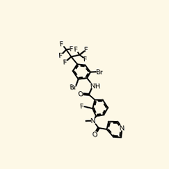 CN(C(=O)c1ccncc1)c1cccc(C(=O)Nc2c(Br)cc(C(F)(C(F)(F)F)C(F)(F)F)cc2Br)c1F